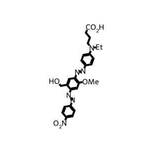 CCN(CCCC(=O)O)c1ccc(N=Nc2cc(CO)c(N=Nc3ccc([N+](=O)[O-])cc3)cc2OC)cc1